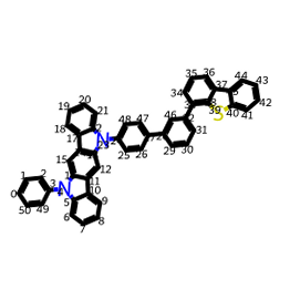 c1ccc(-n2c3ccccc3c3cc4c(cc32)c2ccccc2n4-c2ccc(-c3cccc(-c4cccc5c4sc4ccccc45)c3)cc2)cc1